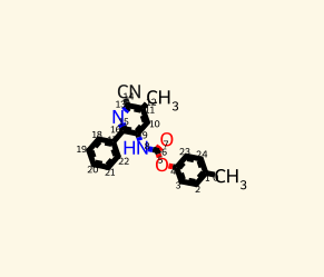 Cc1ccc(OC(=O)Nc2cc(C)c(C#N)nc2-c2ccccc2)cc1